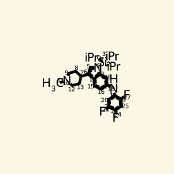 CC(C)[Si](C(C)C)(C(C)C)n1cc(C2CCN(C)CC2)c2ccc(Nc3cc(F)c(F)cc3F)cc21